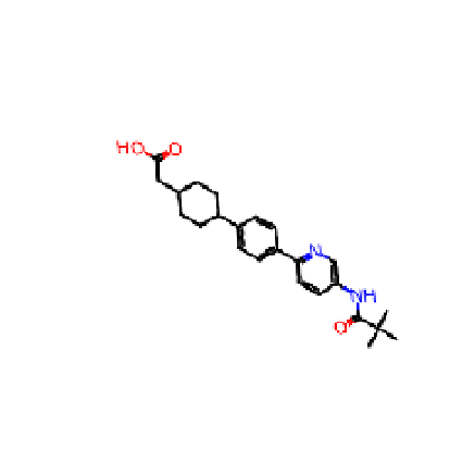 CC(C)(C)C(=O)Nc1ccc(-c2ccc(C3CCC(CC(=O)O)CC3)cc2)nc1